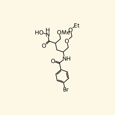 CCOCOCC(CC(COC)C(=O)NO)NC(=O)c1ccc(Br)cc1